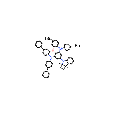 CC(C)(C)c1ccc(N2c3ccc(C(C)(C)C)cc3B3c4cc(-c5ccccc5)ccc4N(c4ccc(-c5ccccc5)cc4)c4cc(N5c6ccccc6C6(C)CCC56C)cc2c43)cc1